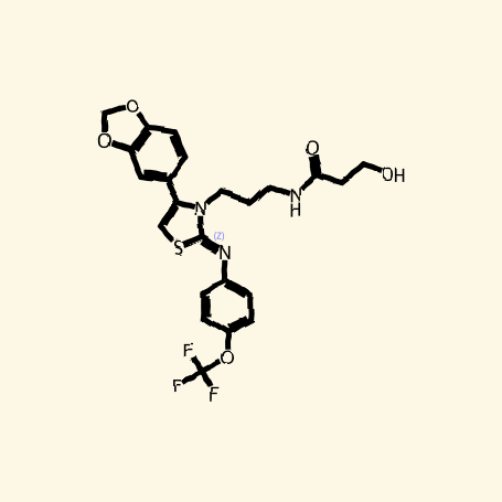 O=C(CCO)NCCCn1c(-c2ccc3c(c2)OCO3)cs/c1=N\c1ccc(OC(F)(F)F)cc1